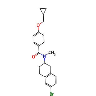 CN(C(=O)c1ccc(OCC2CC2)cc1)C1CCc2cc(Br)ccc2C1